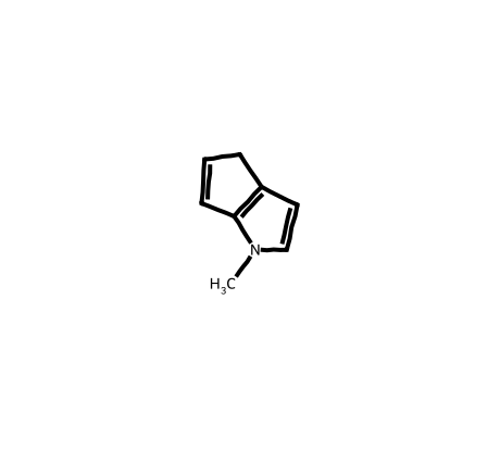 Cn1ccc2c1C=CC2